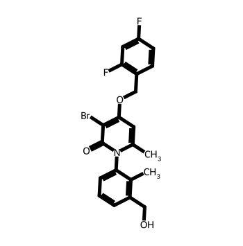 Cc1c(CO)cccc1-n1c(C)cc(OCc2ccc(F)cc2F)c(Br)c1=O